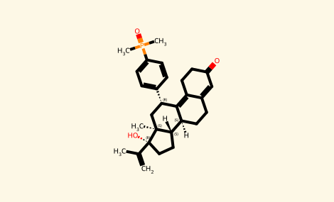 C=C(C)[C@]1(O)CC[C@H]2[C@@H]3CCC4=CC(=O)CCC4=C3[C@@H](c3ccc(P(C)(C)=O)cc3)C[C@@]21C